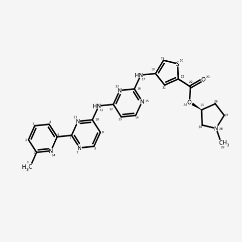 Cc1cccc(-c2nccc(Nc3ccnc(Nc4csc(C(=O)O[C@H]5CCN(C)C5)c4)n3)n2)n1